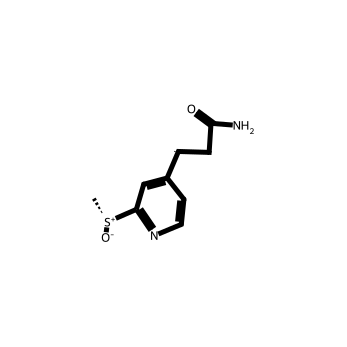 C[S@@+]([O-])c1cc([CH]CC(N)=O)ccn1